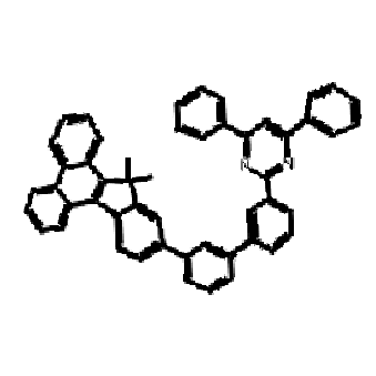 CC1(C)c2cc(-c3cccc(-c4cccc(-c5nc(-c6ccccc6)cc(-c6ccccc6)n5)c4)c3)ccc2-c2c1c1ccccc1c1ccccc21